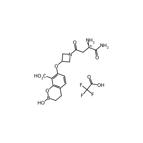 NC(=O)[C@H](N)CC(=O)N1CC(Oc2ccc3c(c2C(=O)O)OB(O)CC3)C1.O=C(O)C(F)(F)F